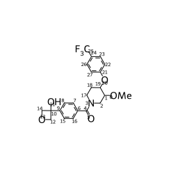 COC1CN(C(=O)c2ccc(C3(O)COC3)cc2)CCC1Oc1ccc(C(F)(F)F)cc1